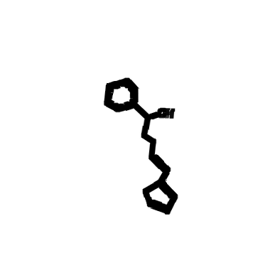 OC(CCC=CC1=CC=CC1)c1ccccc1